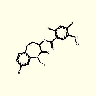 CC(C)Nc1cc(C(=O)NC2COc3ccc(Br)cc3N(C)C2=O)c(F)cc1F